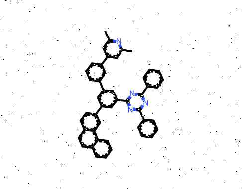 Cc1cc(-c2cccc(-c3cc(-c4ccc5ccc6ccccc6c5c4)cc(-c4nc(-c5ccccc5)nc(-c5ccccc5)n4)c3)c2)cc(C)n1